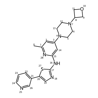 Cc1cc(N2CCN(C3COC3)CC2)cc(Nc2ncc(-c3cccnc3)s2)n1